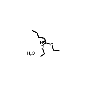 CCCC[SiH](OCC)OCC.O